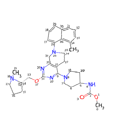 COC(=O)NC1CCN(c2nc(OC[C@@H]3CCCN3C)nc3c2CCN(c2cccc4cccc(C)c24)C3)CC1